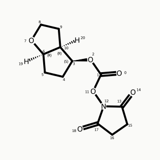 O=C(O[C@H]1CC[C@H]2OCC[C@@H]12)ON1C(=O)CCC1=O